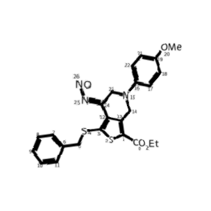 CCOC(=O)c1sc(SCc2ccccc2)c2c1CN(c1ccc(OC)cc1)C/C2=N\N=O